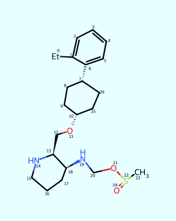 CCc1ccccc1[C@H]1CC[C@@H](OC[C@@H]2NCCC[C@@H]2NCOS(C)=O)CC1